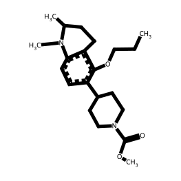 CCCOc1c(C2CCN(C(=O)OC)CC2)ccc2c1CCC(C)N2C